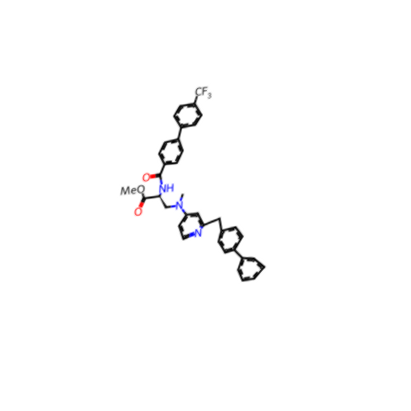 COC(=O)[C@H](CN(C)c1ccnc(Cc2ccc(-c3ccccc3)cc2)c1)NC(=O)c1ccc(-c2ccc(C(F)(F)F)cc2)cc1